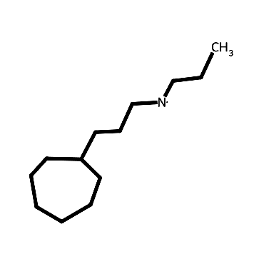 CCC[N]CCCC1CCCCCC1